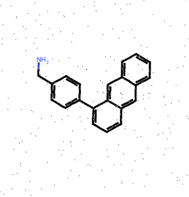 NCc1ccc(-c2cccc3cc4ccccc4cc23)cc1